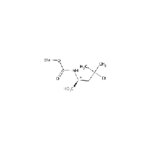 CCC(C)(C)C[C@H](NC(=O)OC(C)(C)C)C(=O)O